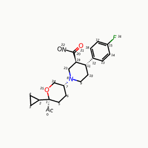 CC(=O)[C@@]1(C2CC2)CC[C@@H](N2CC[C@@H](c3ccc(F)cc3)[C@H](C(=O)N=O)C2)CO1